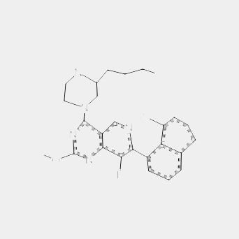 CCCCC1CN(c2nc(OC)nc3c(F)c(-c4cccc5cccc(Cl)c45)ncc23)CCN1